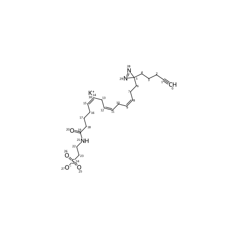 C#CCCCC1(CC/C=C\C/C=C\C/C=C\CCCC(=O)NCCS(=O)(=O)[O-])N=N1.[K+]